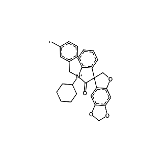 [CH]c1cccc(C[N+]2(C3CCCCC3)C(=O)C3(COc4cc5c(cc43)OCO5)c3ccccc32)c1